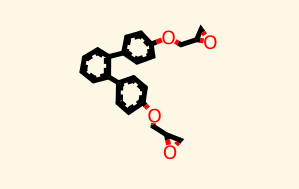 c1ccc(-c2ccc(OCC3CO3)cc2)c(-c2ccc(OCC3CO3)cc2)c1